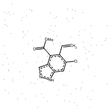 C=Cc1c(Cl)cc2[nH]ncc2c1C(=O)OC